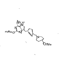 CCCCOc1nc(N)c2[nH]cc(Cc3ccc(CN4CCC(OC)CC4)cc3)c2n1